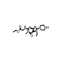 CCOC(=O)CN(C)c1nc2nc(N3CCNCC3)n(CC)c2c(=O)n1C